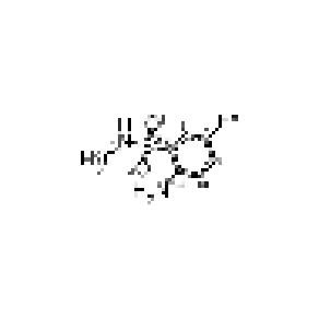 CNS(=O)(=O)c1cc(F)ccc1N